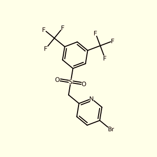 O=S(=O)(Cc1ccc(Br)cn1)c1cc(C(F)(F)F)cc(C(F)(F)F)c1